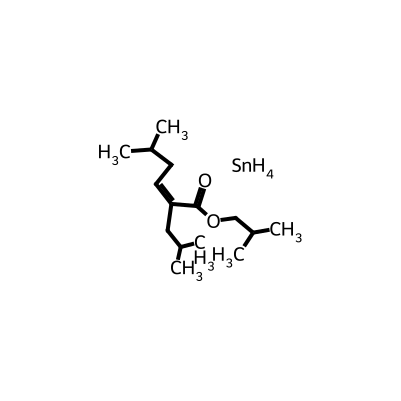 CC(C)CC=C(CC(C)C)C(=O)OCC(C)C.[SnH4]